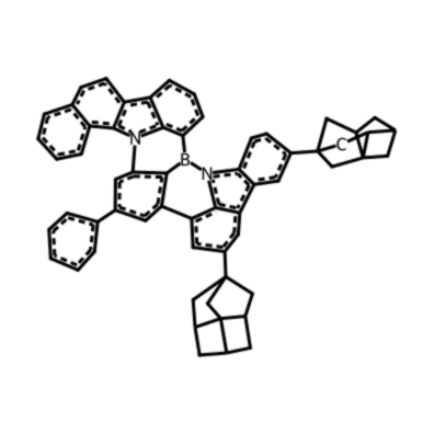 c1ccc(-c2cc3c4c(c2)-n2c5c(cccc5c5ccc6ccccc6c52)B4n2c4ccc(C56CC7CC8CC7(C5)C8C6)cc4c4cc(C56CC7CC8CC(C5)C87C6)cc-3c42)cc1